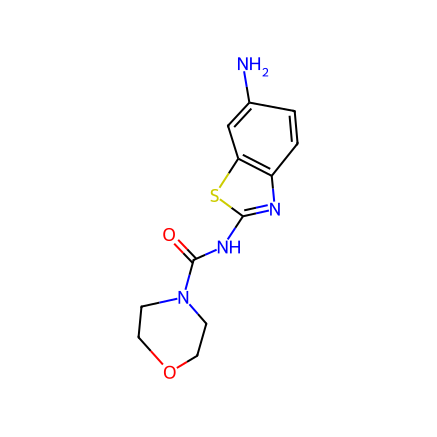 Nc1ccc2nc(NC(=O)N3CCOCC3)sc2c1